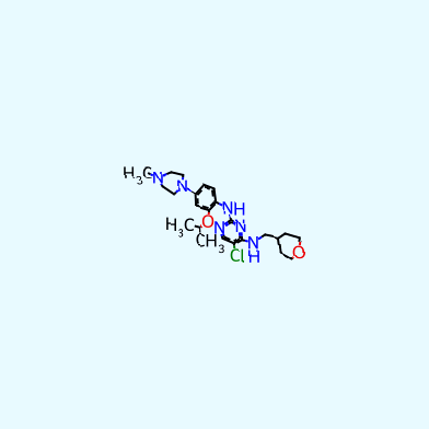 CC(C)Oc1cc(N2CCN(C)CC2)ccc1Nc1ncc(Cl)c(NCC2CCOCC2)n1